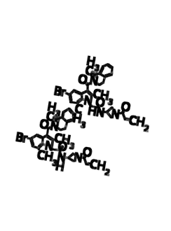 C=CC(=O)N1CC(NC(=O)Cn2c(C)c(C(=O)N3CCc4ccccc4[C@@H]3C)c3cc(Br)cc(C)c32)C1.C=CC(=O)N1CC(NC(=O)Cn2c(C)c(C(=O)N3CCc4ccccc4[C@H]3C)c3cc(Br)cc(C)c32)C1